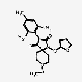 CON1CCC2(CC1)C(=O)C(c1c(C)cc(C)cc1C)C(=O)N2OC1CCCO1